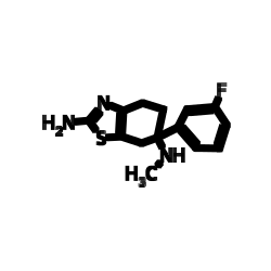 CNC1(c2cccc(F)c2)CCc2nc(N)sc2C1